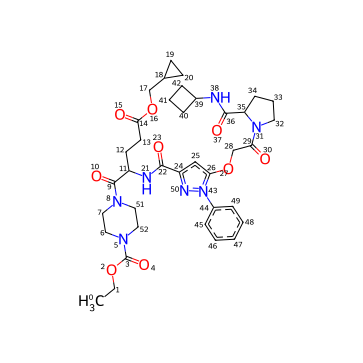 CCOC(=O)N1CCN(C(=O)C(CCC(=O)OCC2CC2)NC(=O)c2cc(OCC(=O)N3CCCC3C(=O)NC3CCC3)n(-c3ccccc3)n2)CC1